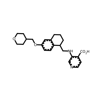 O=C(O)c1ccncc1NCC1CCCc2cc(OCC3CCOCC3)ccc21